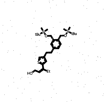 CC/C(=C/CO)c1cc(CCc2ccc(CO[Si](C)(C)C(C)(C)C)c(CO[Si](C)(C)C(C)(C)C)c2)cs1